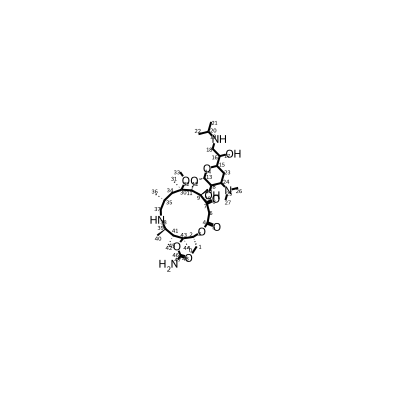 CC[C@H]1OC(=O)CC(=O)[C@H](C)[C@@H](O[C@@H]2OC(C(O)CNC(C)C)CC(N(C)C)C2O)[C@](C)(OC)C[C@@H](C)CN[C@H](C)[C@@H](C)[C@]1(C)OC(N)=O